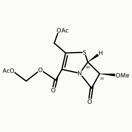 CO[C@H]1C(=O)N2C(C(=O)OCOC(C)=O)=C(COC(C)=O)S[C@H]12